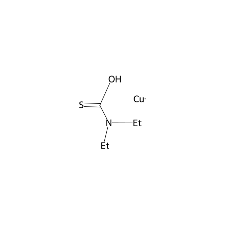 CCN(CC)C(O)=S.[Cu]